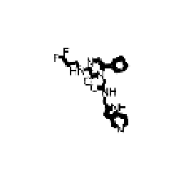 O=C(Cn1c(-c2ccccc2)cnc(NCCC(F)F)c1=O)NCc1cc2cnccc2[nH]1